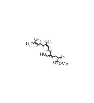 COC(=O)C(C/C=C(/CO)CCC=C(C)CCC=C(C)C)C(C)=O